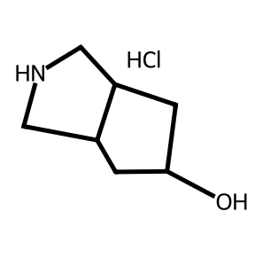 Cl.OC1CC2CNCC2C1